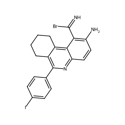 N=C(Br)c1c(N)ccc2nc(-c3ccc(I)cc3)c3c(c12)CCCC3